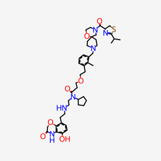 Cc1c(CCOCCC(=O)N(CCNCCc2ccc(O)c3c2OCC(=O)N3)C2CCCC2)cccc1CN1CCC2(CC1)CN(C(=O)C1CSC(C(C)C)=N1)CCO2